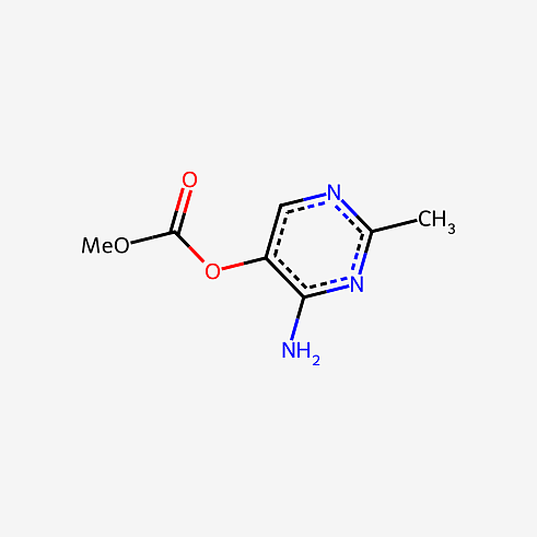 COC(=O)Oc1cnc(C)nc1N